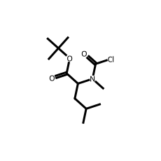 CC(C)CC(C(=O)OC(C)(C)C)N(C)C(=O)Cl